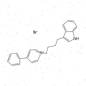 [Br-].c1ccc(-c2cc[n+](CCCCc3c[nH]c4ccccc34)cc2)cc1